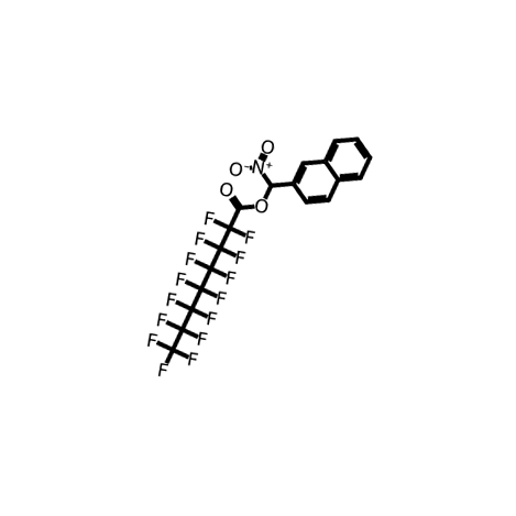 O=C(OC(c1ccc2ccccc2c1)[N+](=O)[O-])C(F)(F)C(F)(F)C(F)(F)C(F)(F)C(F)(F)C(F)(F)C(F)(F)F